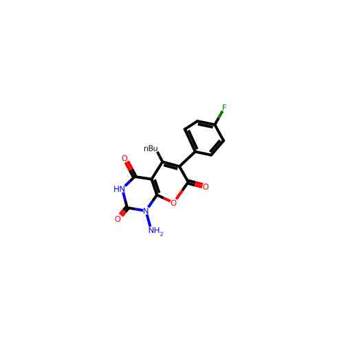 CCCCc1c(-c2ccc(F)cc2)c(=O)oc2c1c(=O)[nH]c(=O)n2N